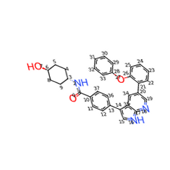 O=C(N[C@H]1CC[C@H](O)CC1)c1ccc(-c2c[nH]c3ncc(-c4ccccc4Oc4ccccc4)cc23)cc1